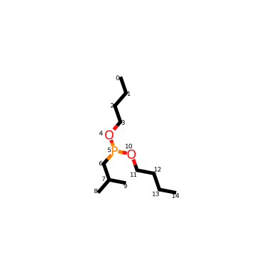 CCCCOP(CC(C)C)OCCCC